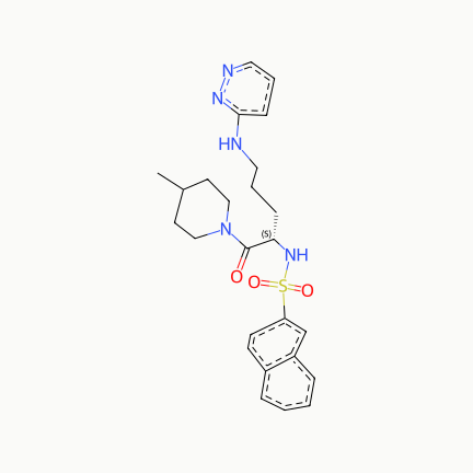 CC1CCN(C(=O)[C@H](CCCNc2cccnn2)NS(=O)(=O)c2ccc3ccccc3c2)CC1